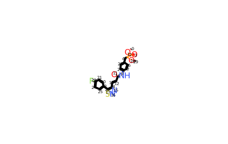 COP(=O)(Cc1ccc(NC(=O)/C=C/c2nnsc2-c2ccc(F)cc2)cc1)OC